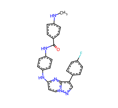 CNc1ccc(C(=O)Nc2ccc(Nc3ccn4ncc(-c5ccc(F)cc5)c4n3)cc2)cc1